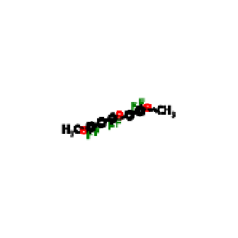 CCCCOc1ccc(C2=CCC(COc3ccc(C4CCC(c5ccc(OCC)c(F)c5F)CC4)c(F)c3F)CC2)c(F)c1F